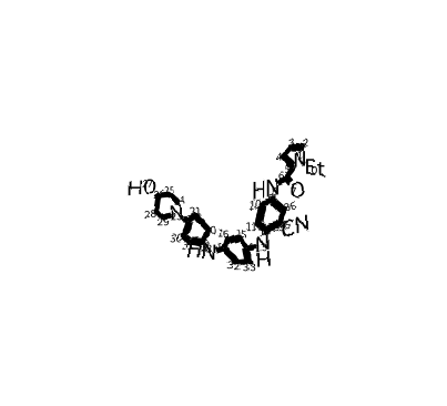 CCn1cccc1C(=O)Nc1ccc(Nc2ccc(Nc3ccc(N4CCC(O)CC4)cc3)cc2)c(C#N)c1